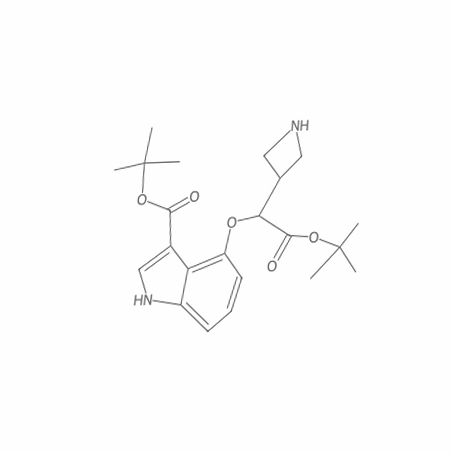 CC(C)(C)OC(=O)c1c[nH]c2cccc(OC(C(=O)OC(C)(C)C)C3CNC3)c12